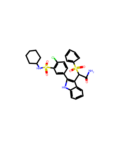 NC(=O)C(c1c(-c2ccc(Cl)c(S(=O)(=O)NC3CCCCC3)c2)[nH]c2ccccc12)S(=O)(=O)c1ccccc1